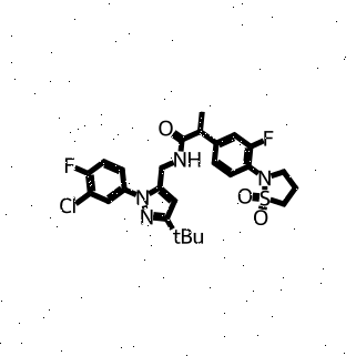 CC(C(=O)NCc1cc(C(C)(C)C)nn1-c1ccc(F)c(Cl)c1)c1ccc(N2CCCS2(=O)=O)c(F)c1